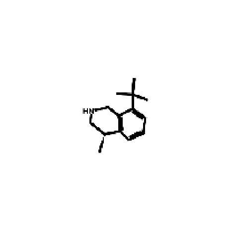 C[C@H]1CNCc2c1cccc2C(C)(C)C